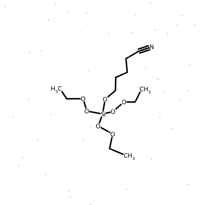 CCOO[Si](OCCCCC#N)(OOCC)OOCC